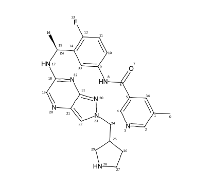 Cc1cncc(C(=O)Nc2ccc(F)c([C@H](C)Nc3cnc4cn(CC5CCNC5)nc4n3)c2)c1